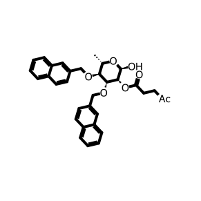 CC(=O)CCC(=O)O[C@@H]1[C@H](OCc2ccc3ccccc3c2)[C@@H](OCc2ccc3ccccc3c2)[C@H](C)O[C@H]1O